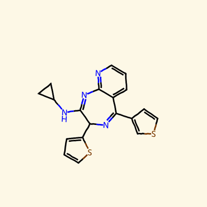 c1csc(C2N=C(c3ccsc3)c3cccnc3N=C2NC2CC2)c1